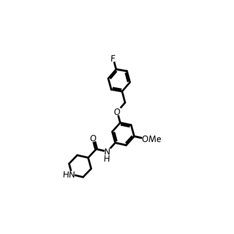 COc1cc(NC(=O)C2CCNCC2)cc(OCc2ccc(F)cc2)c1